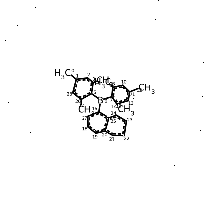 Cc1cc(C)c(B(c2c(C)cc(C)cc2C)c2cccc3ccccc23)c(C)c1